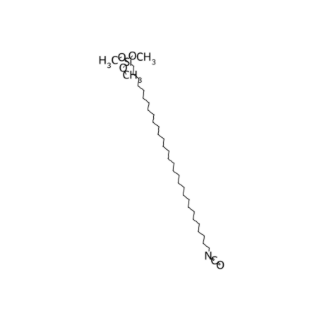 CO[Si](CCCCCCCCCCCCCCCCCCCCCCCCCCCCCCCN=C=O)(OC)OC